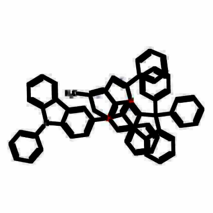 C\C1=C(c2cc3c(cc2-c2ccc4c(c2)c2ccccc2n4-c2ccccc2)-c2ccccc2C3(c2ccccc2)c2ccccc2)/C=C(c2ccccc2)\N=C(\c2ccccc2)CC1